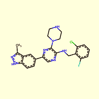 Cc1n[nH]c2ccc(-c3cnc(NCc4c(F)cccc4Cl)c(N4CCNCC4)n3)cc12